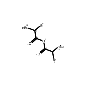 CCCCC(Br)C(=O)OC(=O)C(Br)CCCC